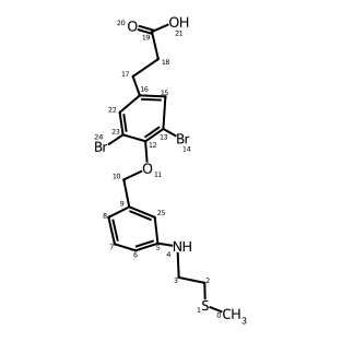 CSCCNc1cccc(COc2c(Br)cc(CCC(=O)O)cc2Br)c1